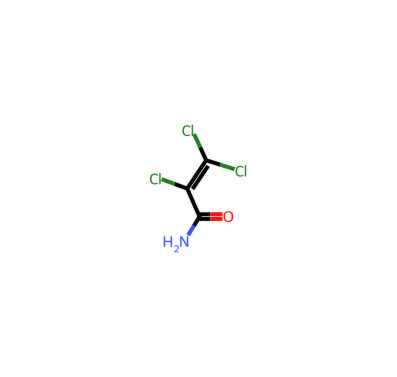 NC(=O)C(Cl)=C(Cl)Cl